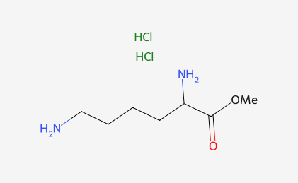 COC(=O)C(N)CCCCN.Cl.Cl